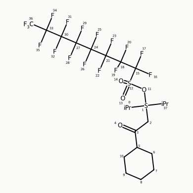 CC(C)S(CC(=O)C1CCCCC1)(OS(=O)(=O)C(F)(F)C(F)(F)C(F)(F)C(F)(F)C(F)(F)C(F)(F)C(F)(F)C(F)(F)F)C(C)C